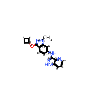 Cn1nc(OC2CCC2)c2ccc(Nc3n[nH]c4cccnc34)cc21